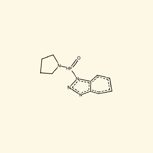 O=[PH](N1CCCC1)n1nnc2ccccc21